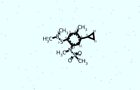 CB(C)Sc1cc(C)c(C2CC2)cc1N(C)S(C)(=O)=O